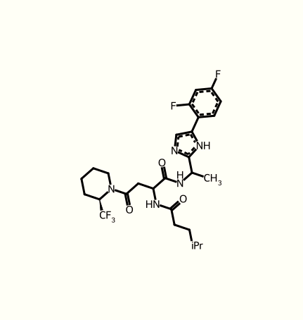 CC(C)CCC(=O)NC(CC(=O)N1CCCC[C@@H]1C(F)(F)F)C(=O)NC(C)c1ncc(-c2ccc(F)cc2F)[nH]1